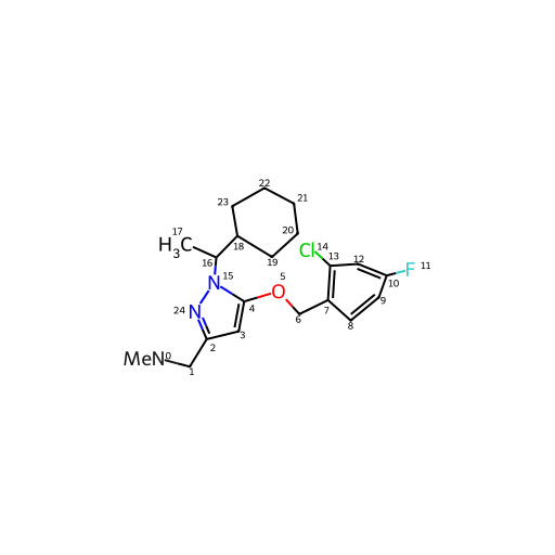 CNCc1cc(OCc2ccc(F)cc2Cl)n(C(C)C2CCCCC2)n1